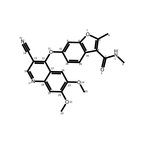 CNC(=O)c1c(C)oc2cc(Oc3c(C#N)cnc4cc(OC)c(OC)cc34)ccc12